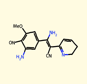 COc1cc(/C(N)=C(\C#N)C2=NCCC=C2)cc(N)c1N=O